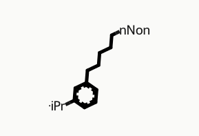 CCCCCCCCCCCCCCc1cccc([C](C)C)c1